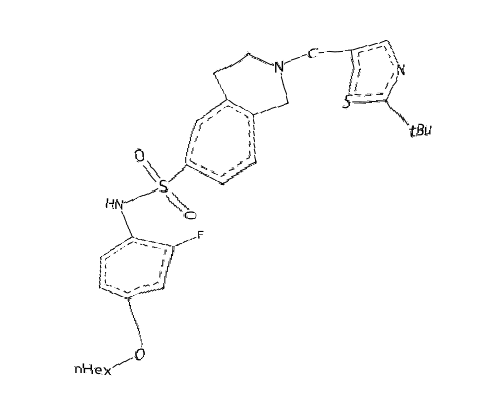 CCCCCCOc1ccc(NS(=O)(=O)c2ccc3c(c2)CCN(Cc2cnc(C(C)(C)C)s2)C3)c(F)c1